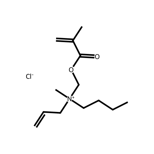 C=CC[N+](C)(CCCC)COC(=O)C(=C)C.[Cl-]